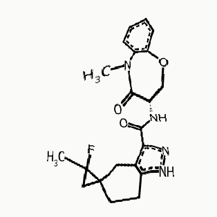 CN1C(=O)[C@@H](NC(=O)c2n[nH]c3c2CC2(CC3)CC2(C)F)COc2ccccc21